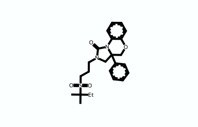 CCC(C)(C)S(=O)(=O)CCCN1CC2(c3ccccc3)COc3ccccc3N2C1=O